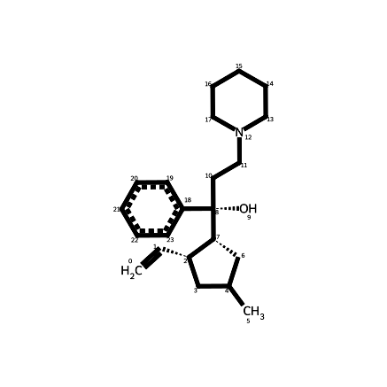 C=C[C@H]1CC(C)C[C@H]1[C@](O)(CCN1CCCCC1)c1ccccc1